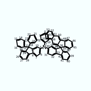 c1ccc(N(c2ccc3c(c2)C(c2ccccc2)(c2ccccc2)c2ccccc2-3)c2ccc3c(c2)C2(c4ccccc4-3)c3ccccc3-c3cc4ccccc4cc32)cc1